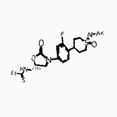 CCC(=S)NC[C@H]1CN(c2ccc(C3CCS(=O)(=NC(C)=O)CC3)c(F)c2)C(=O)O1